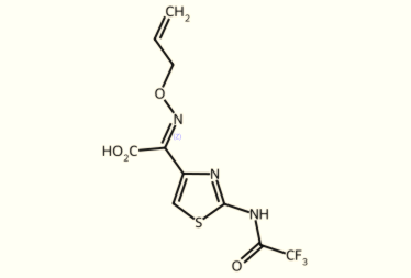 C=CCO/N=C(\C(=O)O)c1csc(NC(=O)C(F)(F)F)n1